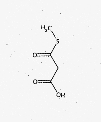 CSC(=O)CC(=O)O